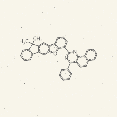 CC1(C)c2ccccc2-c2cc3oc4c(-c5nc(-c6ccccc6)c6ccc7ccccc7c6n5)cccc4c3cc21